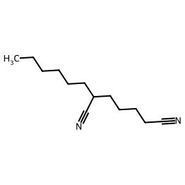 CCCCCCC(C#N)CCCCC#N